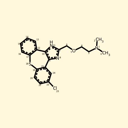 CN(C)CCOCc1nc2c([nH]1)-c1ccccc1Sc1ccc(Cl)cc1-2